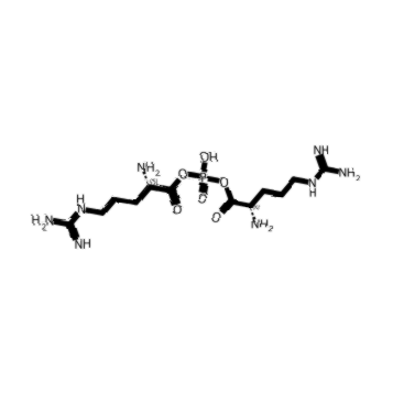 N=C(N)NCCC[C@H](N)C(=O)OP(=O)(O)OC(=O)[C@@H](N)CCCNC(=N)N